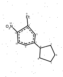 CCc1cc(C2CCCC2)[c]cc1[N+](=O)[O-]